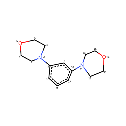 c1cc(N2CCOCC2)cc(N2CCOCC2)c1